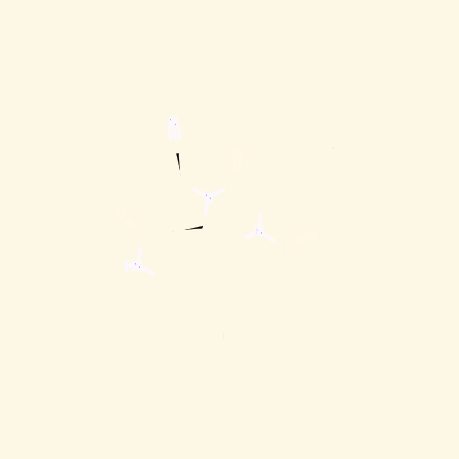 CC(C)C[C@@H](C(=O)N1C[C@]2(C[C@H]1C#N)C(=O)Nc1ccccc12)N(C)C(=O)c1cc(F)ccc1Cl